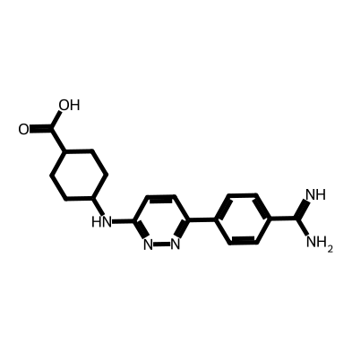 N=C(N)c1ccc(-c2ccc(NC3CCC(C(=O)O)CC3)nn2)cc1